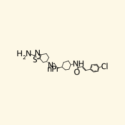 CCCN(CCC1CCC(NC(=O)/C=C/c2ccc(Cl)cc2)CC1)[C@H]1CCc2nc(N)sc2C1